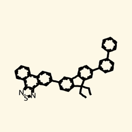 CCC1(CC)c2ccc(-c3ccc4c5ccccc5c5nsnc5c4c3)cc2-c2ccc(-c3cccc(-c4ccccc4)c3)cc21